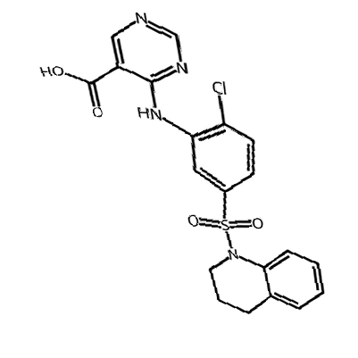 O=C(O)c1cncnc1Nc1cc(S(=O)(=O)N2CCCc3ccccc32)ccc1Cl